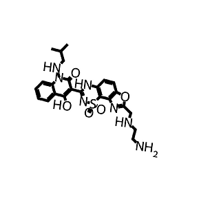 CC(C)CNn1c(=O)c(C2=NS(=O)(=O)c3c(ccc4oc(CNCCN)nc34)N2)c(O)c2ccccc21